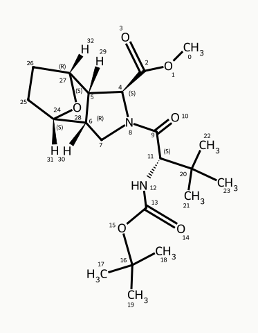 COC(=O)[C@@H]1[C@@H]2[C@H](CN1C(=O)[C@@H](NC(=O)OC(C)(C)C)C(C)(C)C)[C@@H]1CC[C@H]2O1